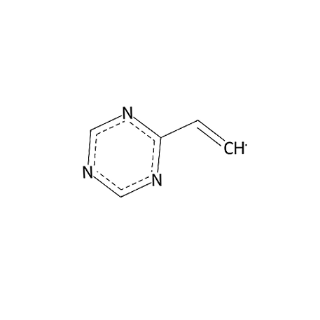 [CH]=Cc1ncncn1